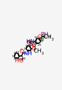 COc1cc(NC(=O)[C@@H](CO)c2ccccc2)ccc1S(=O)(=O)Nc1cccc(OC(C)(F)P)c1